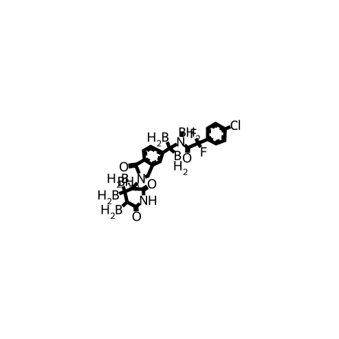 BC1C(=O)NC(=O)[C@](B)(N2Cc3cc(C(B)(B)N(B)C(=O)C(F)(F)c4ccc(Cl)cc4)ccc3C2=O)C1(B)B